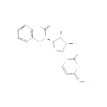 O=c1[nH]/c(=N\O)ccn1[C@@H]1O[C@@H](N(Nc2ccccc2)C(O)=S)[C@@H](O)[C@H]1O